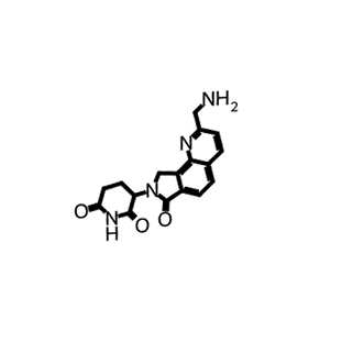 NCc1ccc2ccc3c(c2n1)CN(C1CCC(=O)NC1=O)C3=O